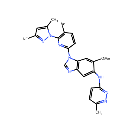 COc1cc2c(cc1Nc1ccc(C)nn1)ncn2-c1ccc(C(C)=O)c(-n2nc(C#N)cc2C)n1